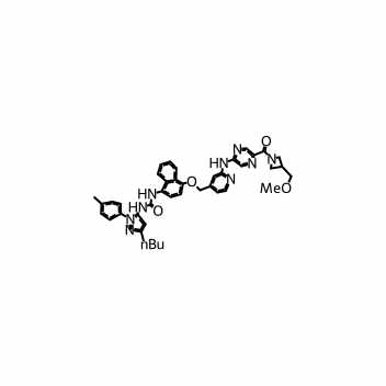 CCCCc1cc(NC(=O)Nc2ccc(OCc3ccnc(Nc4cnc(C(=O)N5CC(COC)C5)cn4)c3)c3ccccc23)n(-c2ccc(C)cc2)n1